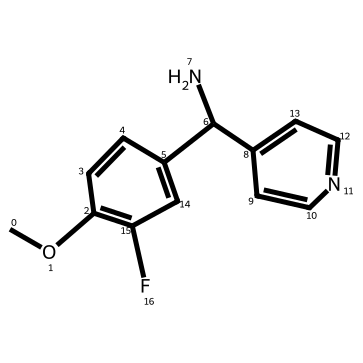 COc1ccc(C(N)c2ccncc2)cc1F